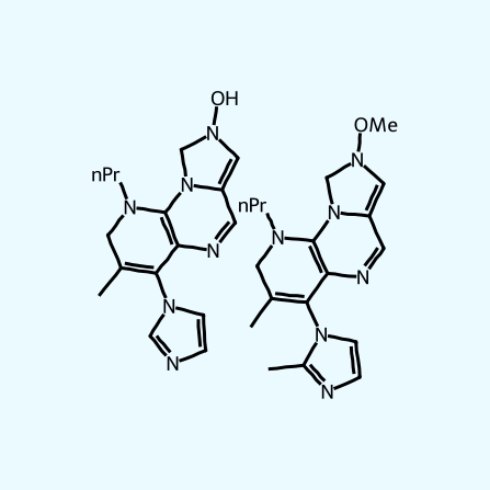 CCCN1CC(C)=C(n2ccnc2)C2=C1N1CN(O)C=C1C=N2.CCCN1CC(C)=C(n2ccnc2C)C2=C1N1CN(OC)C=C1C=N2